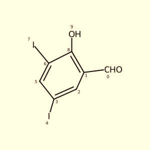 O=Cc1cc(I)cc(I)c1O